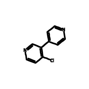 Clc1ccncc1-c1ccncc1